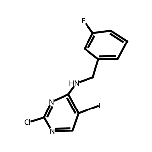 Fc1cccc(CNc2nc(Cl)ncc2I)c1